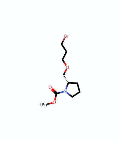 CC(C)(C)OC(=O)N1CCC[C@H]1COCCCBr